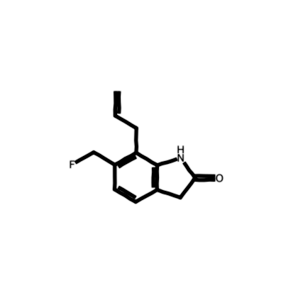 C=CCc1c(CF)ccc2c1NC(=O)C2